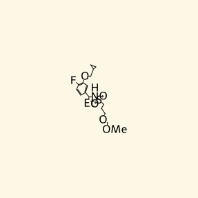 CCC(NS(=O)(=O)CCCOCOC)c1ccc(F)c(OCC2CC2)c1